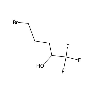 OC(CCCBr)C(F)(F)F